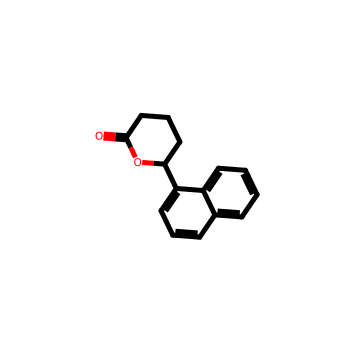 O=C1CCCC(c2cccc3ccccc23)O1